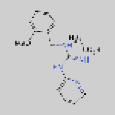 CC(=O)O.COc1ccccc1CNC(=N)Nc1ccccn1